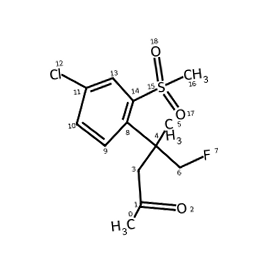 CC(=O)CC(C)(CF)c1ccc(Cl)cc1S(C)(=O)=O